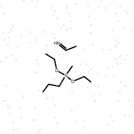 CC=N.CCC[Si](C)(OCC)OCC